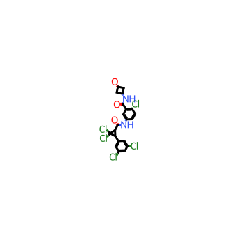 O=C1CC(NC(=O)c2cc(NC(=O)C3C(c4cc(Cl)cc(Cl)c4)C3(Cl)Cl)ccc2Cl)C1